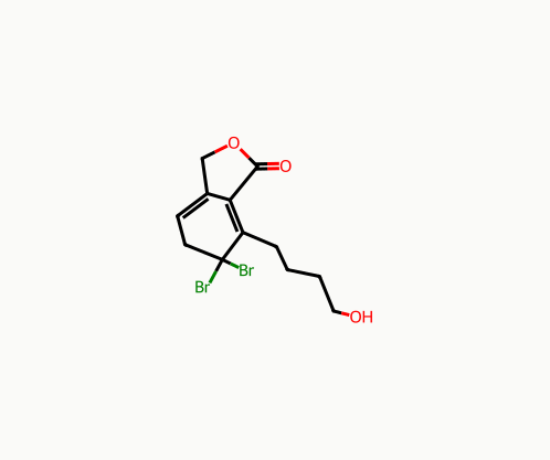 O=C1OCC2=CCC(Br)(Br)C(CCCCO)=C12